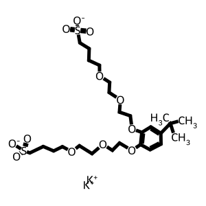 CC(C)(C)c1ccc(OCCOCCOCCCCS(=O)(=O)[O-])c(OCCOCCOCCCCS(=O)(=O)[O-])c1.[K+].[K+]